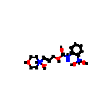 O=C(Nc1ccccc1[N+](=O)[O-])OCC=C[N+]1([O-])CCOCC1